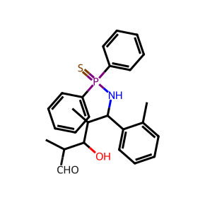 Cc1ccccc1C(NP(=S)(c1ccccc1)c1ccccc1)C(C)C(O)C(C)C=O